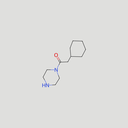 O=C(CC1CCCCC1)N1CCNCC1